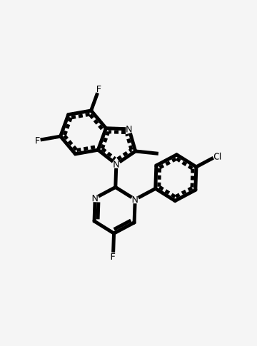 Cc1nc2c(F)cc(F)cc2n1C1N=CC(F)=CN1c1ccc(Cl)cc1